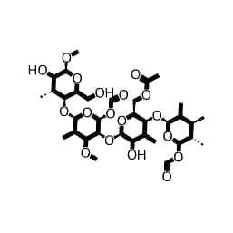 COC1C(C)[C@@H](O[C@@H]2C(CO)O[C@H](OC)C(O)[C@H]2C)O[C@@H](OC=O)[C@H]1O[C@H]1O[C@@H](COC(C)=O)[C@@H](O[C@@H]2OC(OC=O)[C@@H](C)[C@H](C)C2C)C(C)C1O